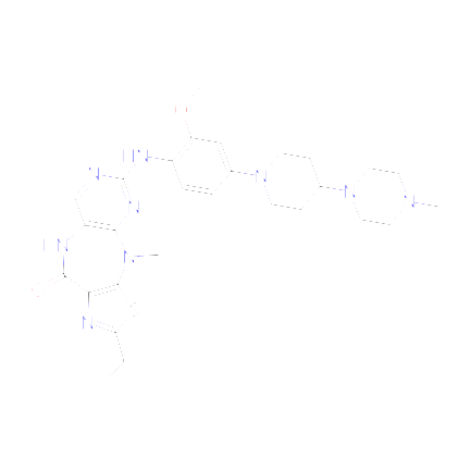 CCc1nc2c(s1)N(C)c1nc(Nc3ccc(N4CCC(N5CCN(C)CC5)CC4)cc3OC)ncc1NC2=O